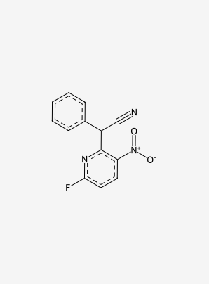 N#CC(c1ccccc1)c1nc(F)ccc1[N+](=O)[O-]